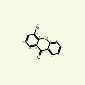 O=c1c2ccccc2sc2c(Br)cccc12